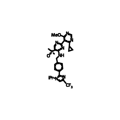 COc1ncnc(C2CC2)c1-c1ncc(P(C)(C)=O)c(NCc2ccc(-c3nc(C(F)(F)F)cn3C(C)C)cc2)n1